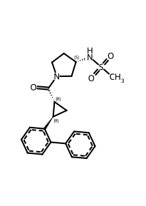 CS(=O)(=O)N[C@H]1CCN(C(=O)[C@@H]2C[C@H]2c2ccccc2-c2ccccc2)C1